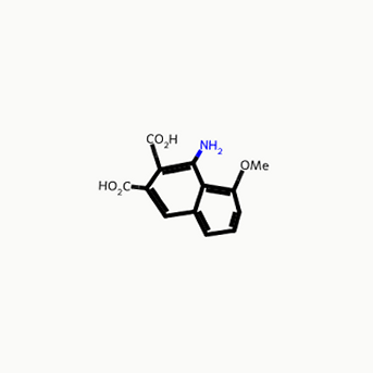 COc1cccc2cc(C(=O)O)c(C(=O)O)c(N)c12